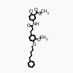 COC(=O)c1cc(NC(=O)CCc2ccc(OCCCCCc3ccccc3)c(OC)c2)ccc1Cl